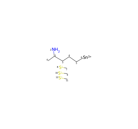 CC(N)CC[CH2][Sn+3].C[S-].C[S-].C[S-]